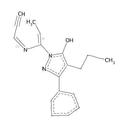 C#C/C=N\C(=C/C)n1nc(-c2ccccc2)c(CCC)c1O